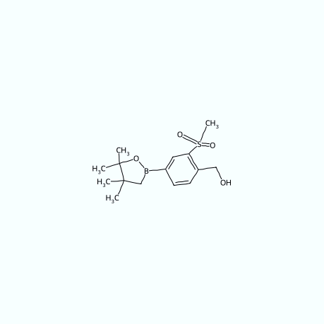 CC1(C)CB(c2ccc(CO)c(S(C)(=O)=O)c2)OC1(C)C